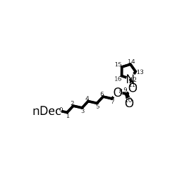 CCCCCCCCCCCCCCCCCOC(=O)ON1CCCC1